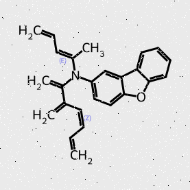 C=C/C=C\C(=C)C(=C)N(/C(C)=C/C=C)c1ccc2oc3ccccc3c2c1